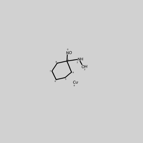 O=NC1(NO)CCCCC1.[Cu]